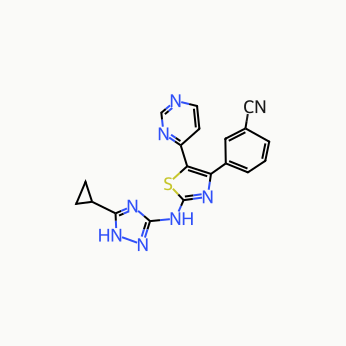 N#Cc1cccc(-c2nc(Nc3n[nH]c(C4CC4)n3)sc2-c2ccncn2)c1